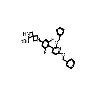 CC(C)(C)C1NCC12CN(c1cc(F)c(-c3ccc(OCc4ccccc4)nc3OCc3ccccc3)c(F)c1)C2